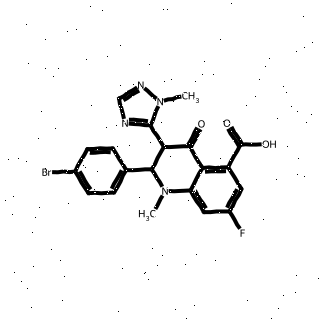 CN1c2cc(F)cc(C(=O)O)c2C(=O)C(c2ncnn2C)C1c1ccc(Br)cc1